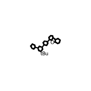 CC(C)(C)c1cc(-c2ccccc2)cc(-c2ccc(-c3cccc4c3oc3ccccc34)cc2)c1